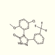 COc1ccc(Cl)cc1-n1c(-c2cccc(C(F)(F)F)c2)n[nH]c1=O